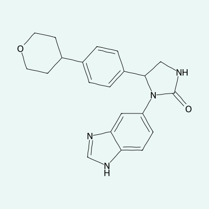 O=C1NCC(c2ccc(C3CCOCC3)cc2)N1c1ccc2[nH]cnc2c1